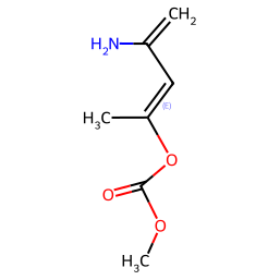 C=C(N)/C=C(\C)OC(=O)OC